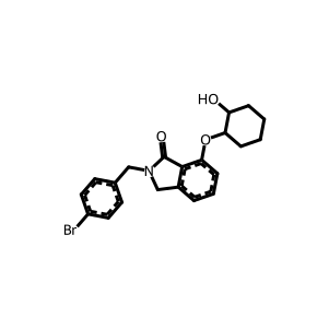 O=C1c2c(cccc2OC2CCCCC2O)CN1Cc1ccc(Br)cc1